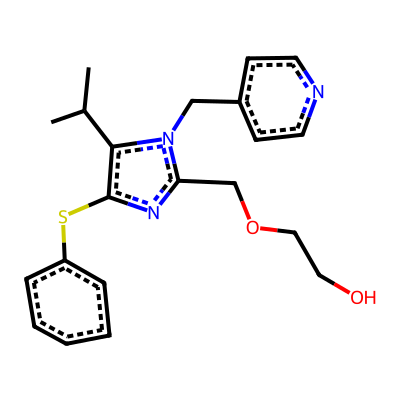 CC(C)c1c(Sc2ccccc2)nc(COCCO)n1Cc1ccncc1